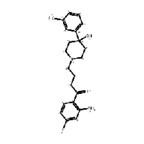 Nc1cc(F)ccc1C(=O)CCCN1CCC(O)(c2cccc(C(F)(F)F)c2)CC1